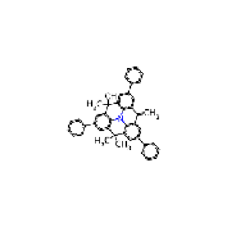 C=C1c2cc(-c3ccccc3)cc3c2N2c4c1cc(-c1ccccc1)cc4C(C)(C)c1cc(-c4ccccc4)cc(c12)C3(C)C